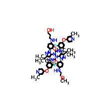 COCCNc1ccc(-n2nc(C(C)(C)C)cc2N(C(=O)Nc2ccc(Oc3ccnc(C)c3)cc2F)N(C(=O)Nc2ccc(Oc3ccnc(C)c3)cc2F)c2cc(C(C)(C)C)nn2-c2ccc(NCCCO)cc2)cc1